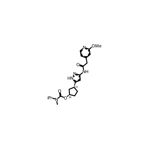 COc1cc(CC(=O)Nc2cc([C@H]3CC[C@@H](OC(=O)N(C)C(C)C)C3)[nH]n2)ccn1